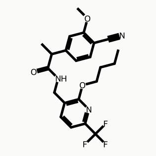 CCCCOc1nc(C(F)(F)F)ccc1CNC(=O)C(C)c1ccc(C#N)c(OC)c1